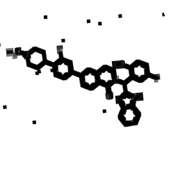 CN1CCC(c2ccc(-c3ccc4c(=O)n(C(c5nc6ccccc6[nH]5)c5cc(F)ccc5O)ccc4c3)cc2F)CC1